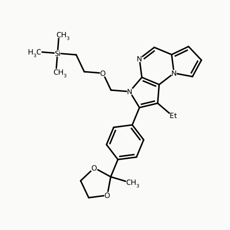 CCc1c(-c2ccc(C3(C)OCCO3)cc2)n(COCC[Si](C)(C)C)c2ncc3cccn3c12